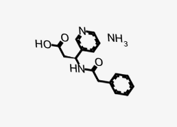 N.O=C(O)C[C@H](NC(=O)Cc1ccccc1)c1cccnc1